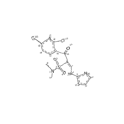 CN(C)S(=O)(=O)C(=CNc1nccs1)C(=O)c1ccc(Cl)nc1Cl